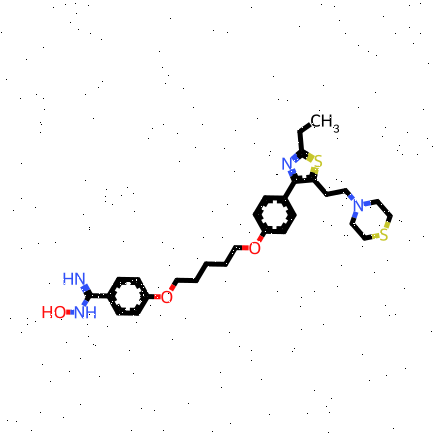 CCc1nc(-c2ccc(OCCCCCOc3ccc(C(=N)NO)cc3)cc2)c(CCN2CCSCC2)s1